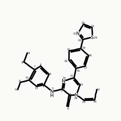 C=C1C(Nc2ccc(CC)c(CC)c2)=NC(c2ccc(-c3nccs3)cc2)=CN1/C=C\C